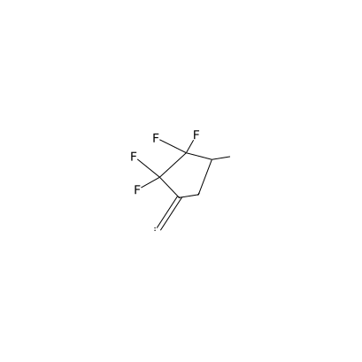 [C]=C1CC(C)C(F)(F)C1(F)F